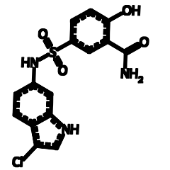 NC(=O)c1cc(S(=O)(=O)Nc2ccc3c(Cl)c[nH]c3c2)ccc1O